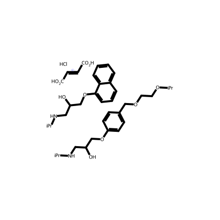 CC(C)NCC(O)COc1ccc(COCCOC(C)C)cc1.CC(C)NCC(O)COc1cccc2ccccc12.Cl.O=C(O)/C=C/C(=O)O